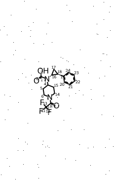 O=C(O)N(C1CCN(C(=O)C(F)(F)F)CC1)[C@@H]1C[C@H]1c1ccccc1